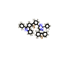 c1ccc(-c2nc(-c3cccc4c3sc3c4ccc4c(-c5ccccc5)nc5ccccc5c43)cc(-c3cccc4sc5ccccc5c34)n2)cc1